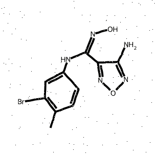 Cc1ccc(N/C(=N/O)c2nonc2N)cc1Br